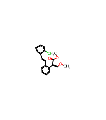 CO/C=C(\C(=O)OC)c1ccccc1/C=C/c1ccccc1Cl